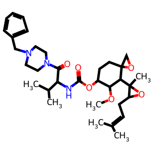 COC1C(OC(=O)NC(C(=O)N2CCN(Cc3ccccc3)CC2)C(C)C)CCC2(CO2)C1C1(C)OC1CC=C(C)C